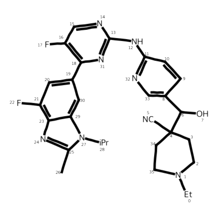 CCN1CCC(C#N)(C(O)c2ccc(Nc3ncc(F)c(-c4cc(F)c5nc(C)n(C(C)C)c5c4)n3)nc2)CC1